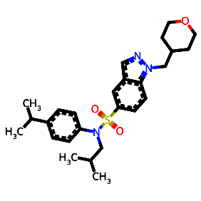 CC(C)CN(c1ccc(C(C)C)cc1)S(=O)(=O)c1ccc2c(cnn2CC2CCOCC2)c1